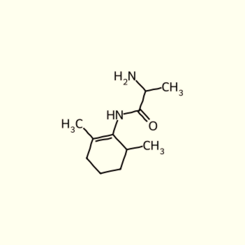 CC1=C(NC(=O)C(C)N)C(C)CCC1